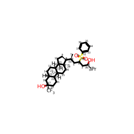 CC(C)[C@H](O)CC(C[C@H](C)[C@@H]1CC[C@H]2[C@@H]3CC[C@H]4C[C@](O)(C(F)(F)F)CC[C@]4(C)[C@H]3CC[C@@]21C)S(=O)(=O)c1ccccc1